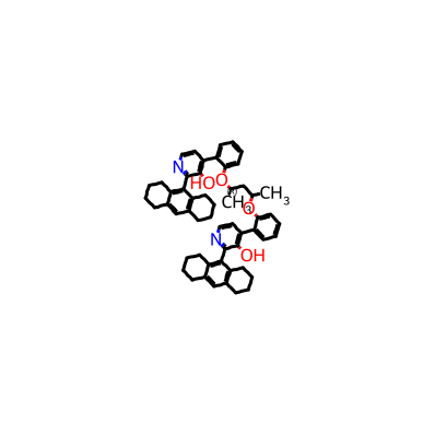 CC(C[C@@H](C)Oc1ccccc1-c1ccnc(-c2c3c(cc4c2CCCC4)CCCC3)c1O)Oc1ccccc1-c1ccnc(-c2c3c(cc4c2CCCC4)CCCC3)c1O